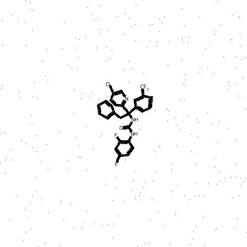 O=C(Nc1ccc(F)cc1F)NC(Cc1ccccc1)(c1cccc(C(F)(F)F)c1)c1ccc(Cl)cn1